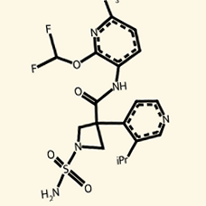 Cc1ccc(NC(=O)C2(c3ccncc3C(C)C)CN(S(N)(=O)=O)C2)c(OC(F)F)n1